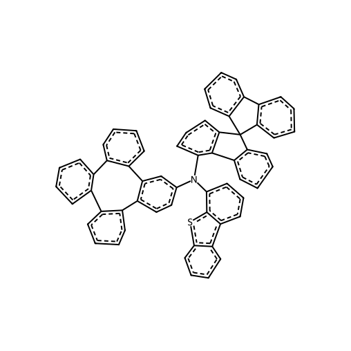 c1ccc2c(c1)-c1ccccc1-c1ccc(N(c3cccc4c3-c3ccccc3C43c4ccccc4-c4ccccc43)c3cccc4c3sc3ccccc34)cc1-c1ccccc1-2